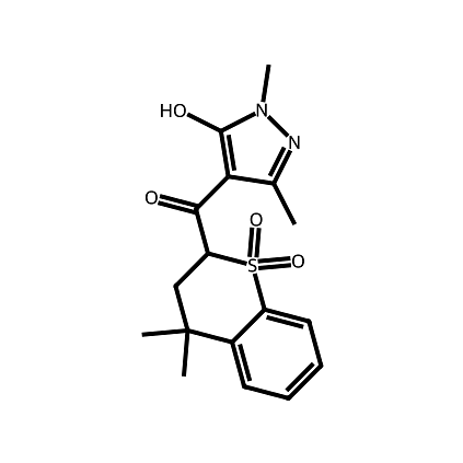 Cc1nn(C)c(O)c1C(=O)C1CC(C)(C)c2ccccc2S1(=O)=O